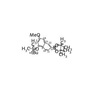 COc1cc(O[Si](C)(C)C(C)(C)C)c2ccc(B3OC(C)(C)C(C)(C)O3)cc2c1